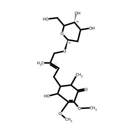 COC1=C(OC)C(O)C(C/C=C(\C)CO[C@@H]2CC(O)[C@@H](O)C(CO)O2)C(C)C1=O